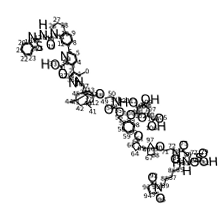 Cc1c(-c2ccc(-c3ccc4c(c3)N(C(=O)Nc3nc5ccccc5s3)CCC4)nc2C(=O)O)cnn1CC12CC3(C)CC(C)(C1)CC(OCCN(C)C(=O)OCc1ccc(OC4CCC4C45CCC4(OCCNC(=O)[C@H](CS(=O)(=O)O)NC(=O)CCCCCN4C(=O)C=CC4=O)C5)cc1O[C@@H]1O[C@H](C(=O)O)C[C@H](O)[C@@H]1O)(C3)C2